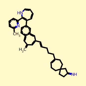 C=C1C=C(/C=C/CCCC2=CCCC3(CCC(=N)C3)CC2)C=c2cc(C3=C(c4cccc(C)n4)NC=CC=C3)ccc2=C1